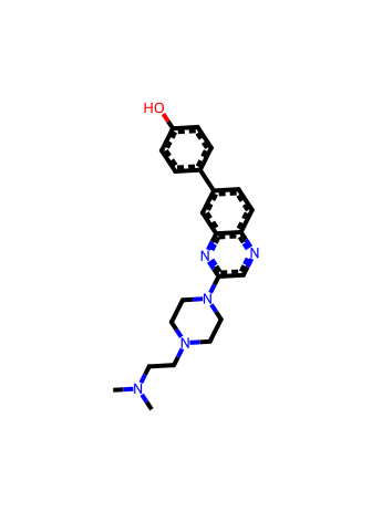 CN(C)CCN1CCN(c2cnc3ccc(-c4ccc(O)cc4)cc3n2)CC1